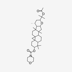 CC(=O)OC(C)(C)C1C[C@@H](C)C2C(CC3(C)C4CCC5C(C)(C)C(OC(=O)N6CCOCC6)CCC56CC46CCC23C)O1